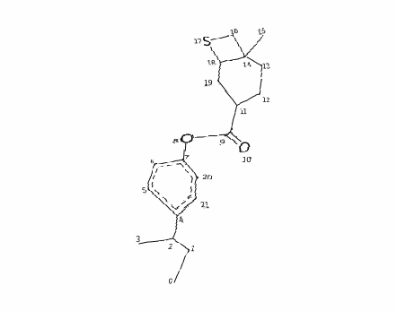 CCC(C)c1ccc(OC(=O)C2CCC3(C)CSC3C2)cc1